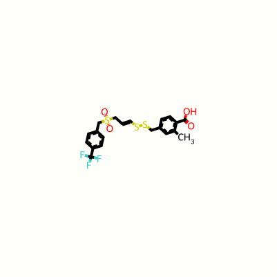 Cc1cc(CSSC=CCS(=O)(=O)Cc2ccc(C(F)(F)F)cc2)ccc1C(=O)O